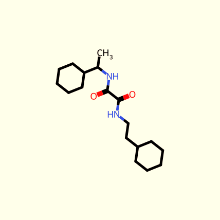 CC(NC(=O)C(=O)NCCC1CCCCC1)C1CCCCC1